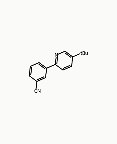 CC(C)(C)c1ccc(-c2cccc(C#N)c2)nc1